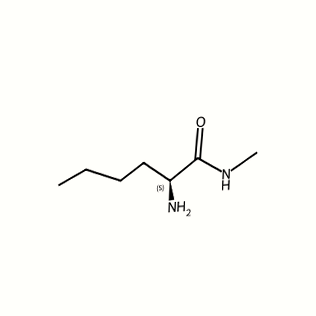 CCCC[C@H](N)C(=O)NC